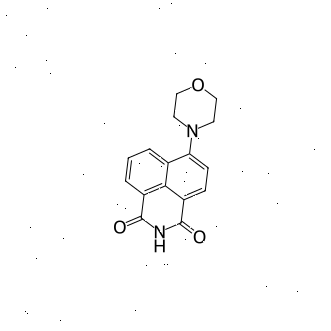 O=C1NC(=O)c2ccc(N3CCOCC3)c3cccc1c23